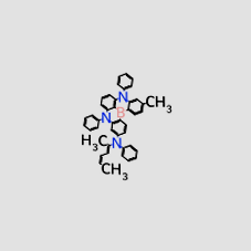 C/C=C\C=C(/C)N(c1ccccc1)c1ccc2c(c1)N(c1ccccc1)c1cccc3c1B2C1=C=C=C(C)C=C1N3c1ccccc1